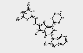 CCc1nc2ccccc2n1-c1nc(N2CCOCC2)c2nc(CCN3CC(=O)NC(C(C)C)C3)n(C)c2n1